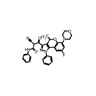 CC1Oc2c(cc(F)cc2N2CCOCC2)-c2c1c(C(=O)C(C#N)C(=O)Nc1ccccc1)nn2-c1ccccc1